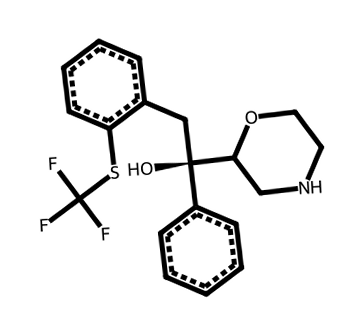 O[C@](Cc1ccccc1SC(F)(F)F)(c1ccccc1)C1CNCCO1